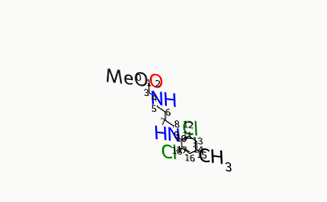 COC(=O)CNCCCCNc1c(Cl)cc(C)cc1Cl